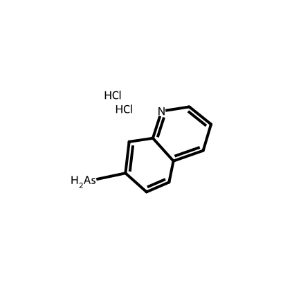 Cl.Cl.[AsH2]c1ccc2cccnc2c1